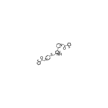 O=C(CN1C=CC(SCc2cc(C3=CN(CC(=O)c4cccs4)C=CC3)n[nH]2)C=C1)c1cccs1